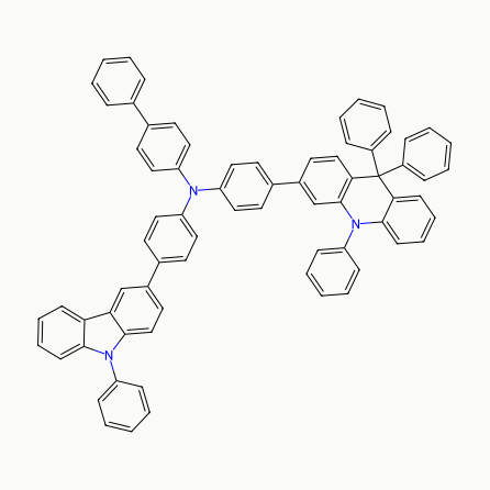 c1ccc(-c2ccc(N(c3ccc(-c4ccc5c(c4)N(c4ccccc4)c4ccccc4C5(c4ccccc4)c4ccccc4)cc3)c3ccc(-c4ccc5c(c4)c4ccccc4n5-c4ccccc4)cc3)cc2)cc1